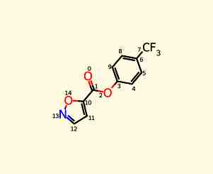 O=C(Oc1ccc(C(F)(F)F)cc1)c1ccno1